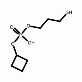 O=P(O)(OCCCS)OC1CCC1